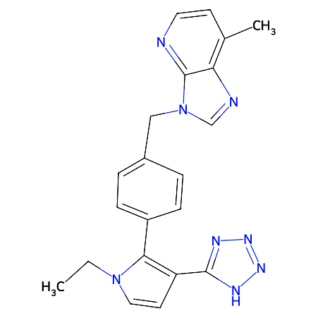 CCn1ccc(-c2nnn[nH]2)c1-c1ccc(Cn2cnc3c(C)ccnc32)cc1